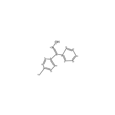 Cc1ccc(C(=NO)c2ccccc2)cc1